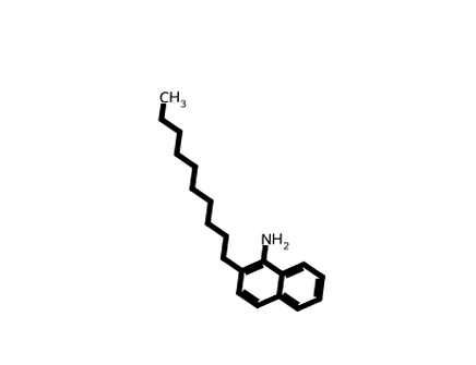 CCCCCCCCCCc1ccc2ccccc2c1N